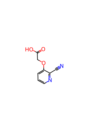 N#Cc1ncccc1OCC(=O)O